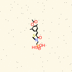 CC(=O)Oc1c(C)cc(C=C2SC=CN(CCP(=O)(O)O)C2=O)cc1C